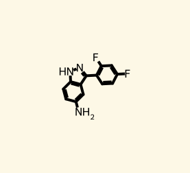 Nc1ccc2[nH]nc(-c3ccc(F)cc3F)c2c1